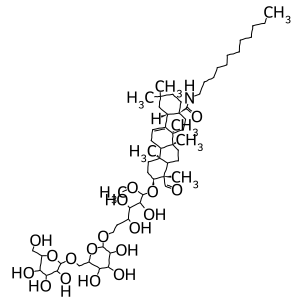 CCCCCCCCCCCCNC(=O)[C@]12CCC(C)(C)C[C@H]1C1=CCC3[C@@]4(C)CC[C@H](OC(OC)C(O)C(O)C(O)CCOC5OC(COC6OC(CO)C(O)C(O)C6O)C(O)C(O)C5O)[C@@](C)(C=O)C4CC[C@@]3(C)[C@]1(C)CC2